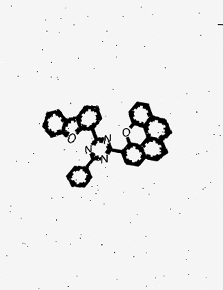 c1ccc(-c2nc(-c3ccc4ccc5ccc6cccc7c6c5c4c3O7)nc(-c3cccc4c3oc3ccccc34)n2)cc1